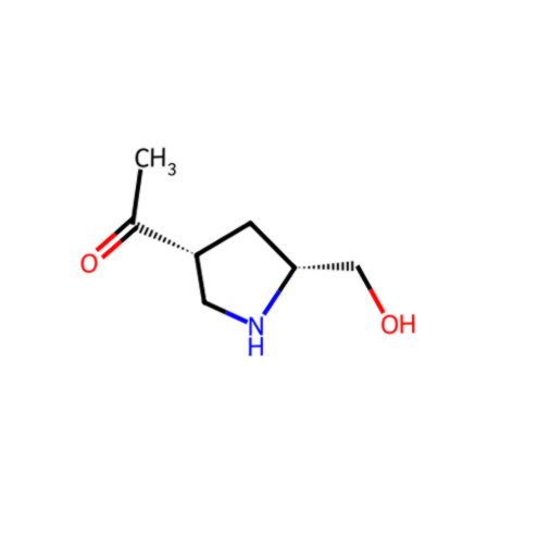 CC(=O)[C@H]1CN[C@@H](CO)C1